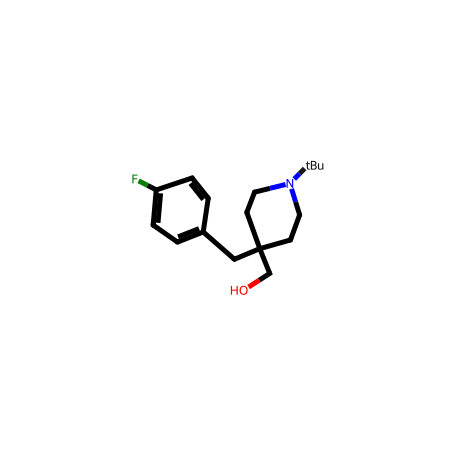 CC(C)(C)N1CCC(CO)(Cc2ccc(F)cc2)CC1